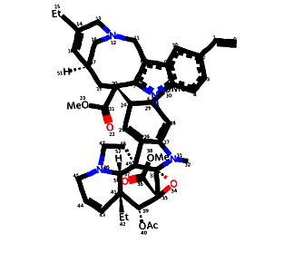 C=Cc1ccc2[nH]c3c(c2c1)CN1CC(CC)=C[C@@H](C1)C[C@]3(C(=O)OC)C1C=C2C(=CC1OC)N(C)[C@@]13O[C@]1(C(=O)OC)[C@H](OC(C)=O)[C@]1(CC)C=CCN4CC[C@]23[C@@H]41